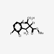 CCCCOC(=O)C(CC)(C(=N)C(=O)O)[C@@H](C)c1c(F)ccc(F)c1Cl